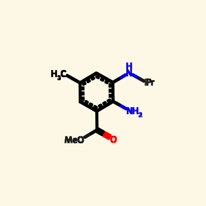 COC(=O)c1cc(C)cc(NC(C)C)c1N